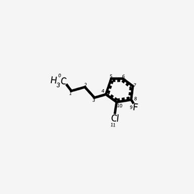 CCCCc1cccc(F)c1Cl